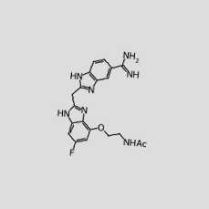 CC(=O)NCCOc1cc(F)cc2[nH]c(Cc3nc4cc(C(=N)N)ccc4[nH]3)nc12